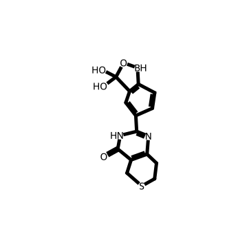 O=c1[nH]c(-c2ccc3c(c2)C(O)(O)OB3)nc2c1CSCC2